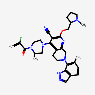 C=C(F)C(=O)N1CCN(c2c(C#N)c(OCC3CCCN3C)nc3c2CCN(c2c(C)ccc4cn[nH]c24)C3)CC1C